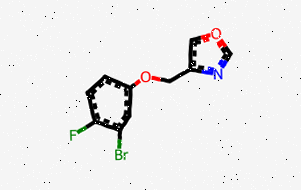 Fc1ccc(OCc2cocn2)cc1Br